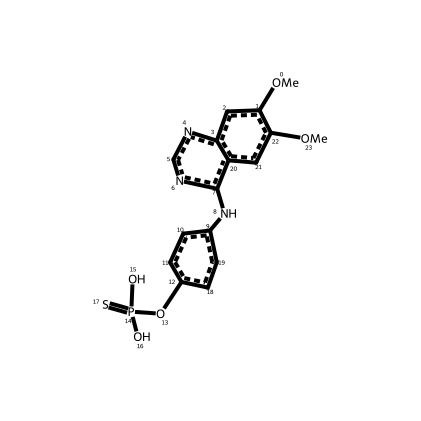 COc1cc2ncnc(Nc3ccc(OP(O)(O)=S)cc3)c2cc1OC